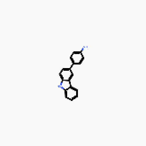 Nc1ccc(-c2ccc3[nH]c4ccccc4c3c2)cc1